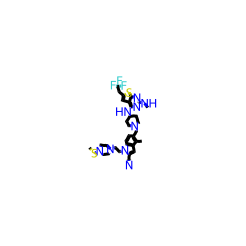 CNc1nc(NC2CCN(Cc3ccc4c(cc(C#N)n4CCN4CCN(SC)CC4)c3C)CC2)c2cc(CC(F)(F)F)sc2n1